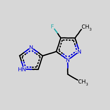 CCn1nc(C)c(F)c1-c1c[nH]cn1